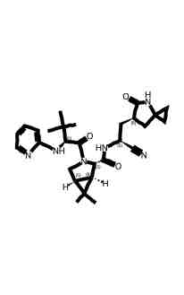 CC(C)(C)[C@H](Nc1ccccn1)C(=O)N1C[C@H]2[C@@H]([C@H]1C(=O)N[C@H](C#N)C[C@@H]1CC3(CC3)NC1=O)C2(C)C